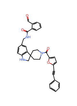 O=Cc1ccccc1C(=O)NCc1ccc2c(c1)C1(CCN(C(=O)c3ccc(C#Cc4ccccc4)o3)CC1)CN2